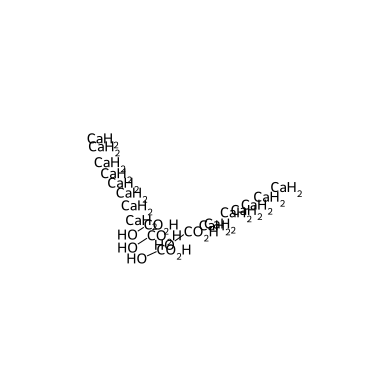 O=C(O)O.O=C(O)O.O=C(O)O.O=C(O)O.[CaH2].[CaH2].[CaH2].[CaH2].[CaH2].[CaH2].[CaH2].[CaH2].[CaH2].[CaH2].[CaH2].[CaH2].[CaH2].[CaH2].[CaH2]